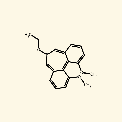 CCOP1C=c2cccc(OC)c2=c2c(OC)cccc2=C1